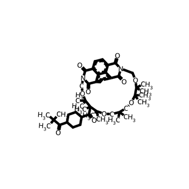 CC1(C)COC(C)(C)C(C)(C)OCN2C(=O)c3ccc4c5c(ccc(c35)C2=O)C(=O)N(COC(C)(C)C(C)(C(=O)C2CCC(C(=O)C(C)(C)C)CC2)C(C)(C)OC1)C4=O